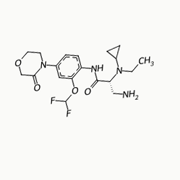 CCN(C1CC1)[C@H](CN)C(=O)Nc1ccc(N2CCOCC2=O)cc1OC(F)F